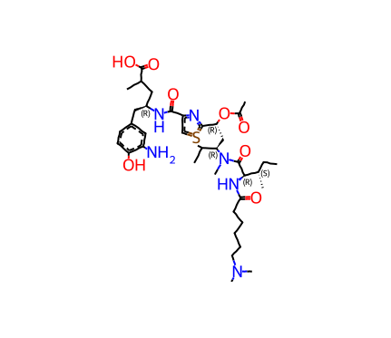 CC[C@H](C)[C@@H](NC(=O)CCCCCN(C)C)C(=O)N(C)[C@H](C[C@@H](OC(C)=O)c1nc(C(=O)N[C@@H](Cc2ccc(O)c(N)c2)CC(C)C(=O)O)cs1)C(C)C